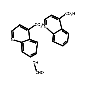 O=C(O)c1ccnc2ccccc12.O=C(O)c1ccnc2ccccc12.O=CO